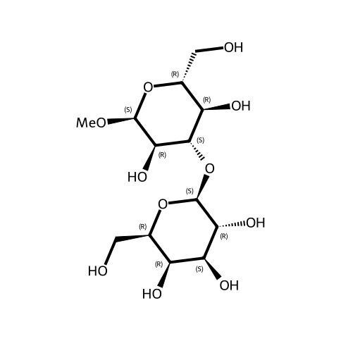 CO[C@H]1O[C@H](CO)[C@@H](O)[C@H](O[C@@H]2O[C@H](CO)[C@H](O)[C@H](O)[C@H]2O)[C@H]1O